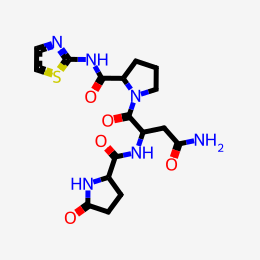 NC(=O)CC(NC(=O)C1CCC(=O)N1)C(=O)N1CCCC1C(=O)Nc1nccs1